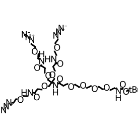 CC(C)(C)OC(=O)NCCOCCOCCOCCOCCC(=O)NC(COCCC(=O)NCCOCCN=[N+]=[N-])(COCCC(=O)NCCOCCN=[N+]=[N-])COCCC(=O)NCCOCCN=[N+]=[N-]